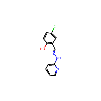 Oc1ccc(Cl)cc1/C=N/Nc1ccccn1